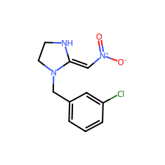 O=[N+]([O-])C=C1NCCN1Cc1cccc(Cl)c1